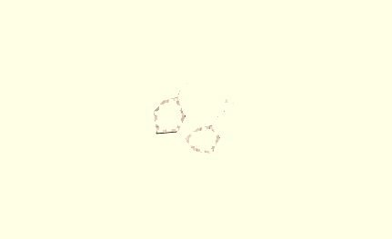 Oc1ccccc1.Oc1ccccc1.[AsH3]